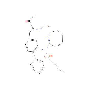 CCCCS(=O)(=O)N(C1=NCCCCC1)c1cc(CC(NOC)C(=O)O)ccc1-c1ccccc1